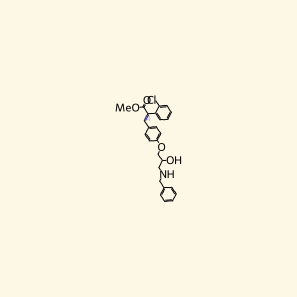 COC(=O)/C(=C/c1ccc(OCC(O)CNCc2ccccc2)cc1)c1ccccc1Cl